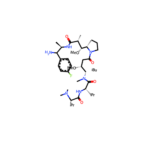 CC[C@H](C)[C@@H]([C@@H](CC(=O)N1CCC[C@H]1[C@H](OC)[C@@H](C)C(=O)N[C@H](C)C(N)c1ccc(F)cc1)OC)N(C)C(=O)[C@@H](NC(=O)[C@H](C(C)C)N(C)C)C(C)C